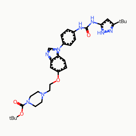 CC(C)(C)OC(=O)N1CCN(CCOc2ccc3c(c2)ncn3-c2ccc(NC(=O)Nc3cc(C(C)(C)C)n[nH]3)cc2)CC1